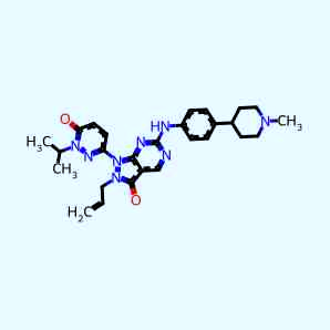 C=CCn1c(=O)c2cnc(Nc3ccc(C4CCN(C)CC4)cc3)nc2n1-c1ccc(=O)n(C(C)C)n1